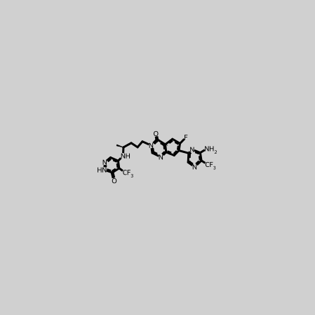 C[C@@H](CCCn1cnc2cc(-c3cnc(C(F)(F)F)c(N)n3)c(F)cc2c1=O)Nc1cn[nH]c(=O)c1C(F)(F)F